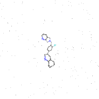 Fc1cc(-c2cnc3ccccc3c2)ccc1CN1Cc2cccnc2C1